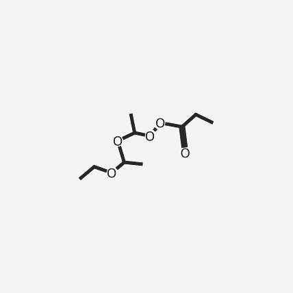 CCOC(C)OC(C)OOC(=O)CC